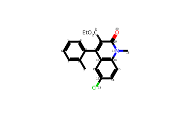 CCOC(=O)c1c(-c2ccccc2C)c2cc(Cl)ccc2n(C)c1=O